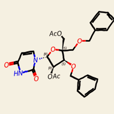 CC(=O)OC[C@]1(COCc2ccccc2)O[C@@H](n2ccc(=O)[nH]c2=O)[C@H](OC(C)=O)[C@@H]1OCc1ccccc1